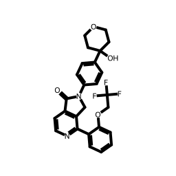 O=C1c2ccnc(-c3ccccc3OCC(F)(F)F)c2CN1c1ccc(C2(O)CCOCC2)cc1